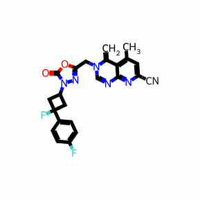 C=C1c2c(C)cc(C#N)nc2N=CN1Cc1nn(C2CC(F)(c3ccc(F)cc3)C2)c(=O)o1